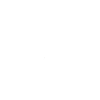 ICCCCc1ccco1